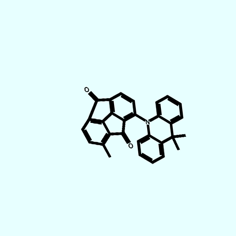 Cc1ccc2c3c1c(=O)c1c(N4c5ccccc5C(C)(C)c5ccccc54)ccc(c1-3)c2=O